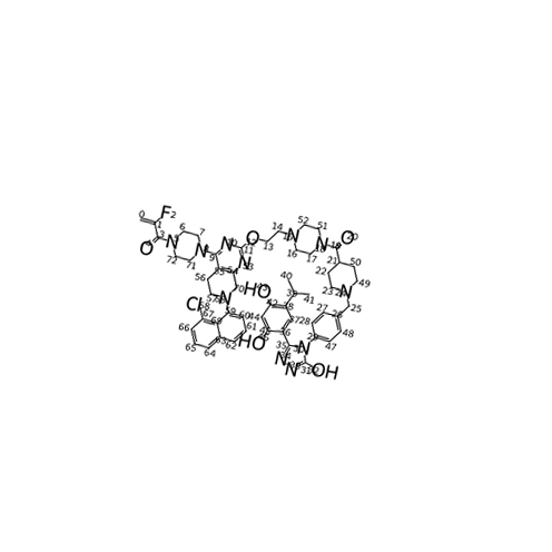 C=C(F)C(=O)N1CCN(c2nc(OCCN3CCN(C(=O)C4CCN(Cc5ccc(-n6c(O)nnc6-c6cc(C(C)C)c(O)cc6O)cc5)CC4)CC3)nc3c2CCN(c2cccc4cccc(Cl)c24)C3)CC1